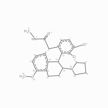 CNC(=O)Cc1ccc(Cl)c(Cl)c1C1c2cccc(OC)c2CCC1N1CCCC1